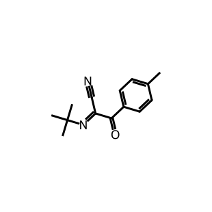 Cc1ccc(C(=O)/C(C#N)=N/C(C)(C)C)cc1